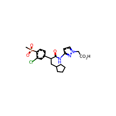 CS(=O)(=O)c1ccc(C(CC2CCCC2)C(=O)Nc2ccn(CC(=O)O)n2)cc1Cl